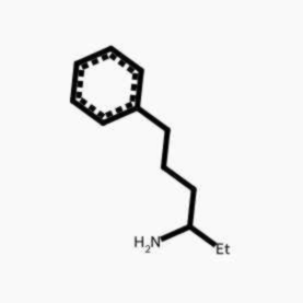 CCC(N)CCCc1ccccc1